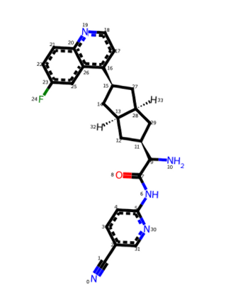 N#Cc1ccc(NC(=O)C(N)[C@H]2C[C@H]3C[C@@H](c4ccnc5ccc(F)cc45)C[C@H]3C2)nc1